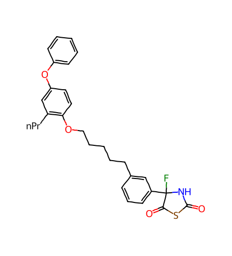 CCCc1cc(Oc2ccccc2)ccc1OCCCCCc1cccc(C2(F)NC(=O)SC2=O)c1